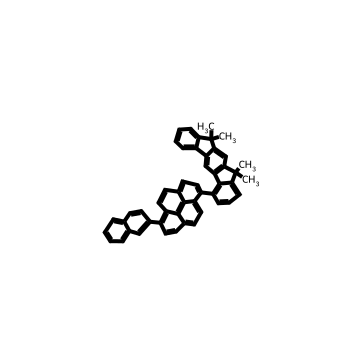 CC1(C)c2ccccc2-c2cc3c(cc21)C(C)(C)c1cccc(-c2ccc4ccc5c(-c6ccc7ccccc7c6)ccc6ccc2c4c65)c1-3